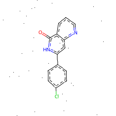 O=c1[nH]c(-c2ccc(Cl)cc2)cc2ncccc12